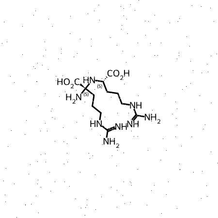 N=C(N)NCCC[C@H](N[C@@](N)(CCCNC(=N)N)C(=O)O)C(=O)O